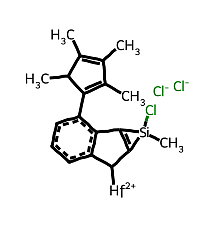 CC1=C(C)C(C)C(c2cccc3c2C2=C([CH]3[Hf+2])[Si]2(C)Cl)=C1C.[Cl-].[Cl-]